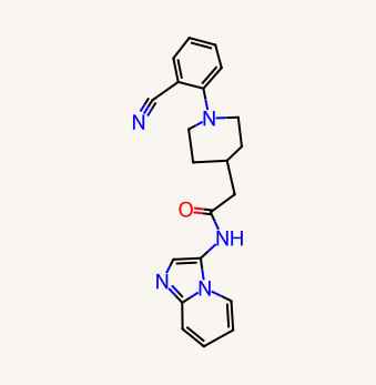 N#Cc1ccccc1N1CCC(CC(=O)Nc2cnc3ccccn23)CC1